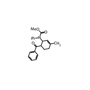 COC(=O)N(C(C)C)C1C=C(C)CCC1C(=O)c1ccccc1